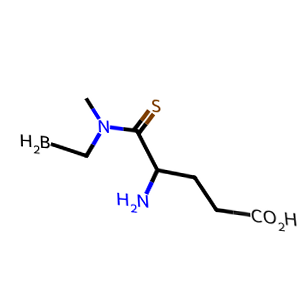 BCN(C)C(=S)C(N)CCC(=O)O